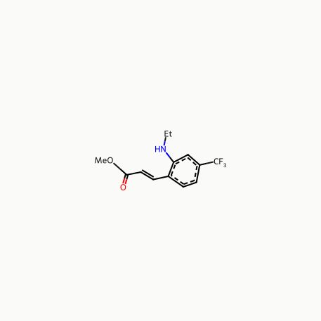 CCNc1cc(C(F)(F)F)ccc1/C=C/C(=O)OC